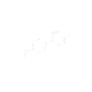 C[C@@H](O)C1CCN(c2ccc(Cl)cc2)CC1